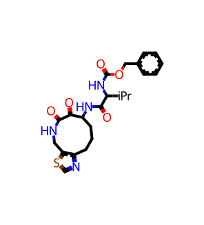 CC(C)C(NC(=O)OCc1ccccc1)C(=O)NC1CCCc2ncsc2CNC(=O)C1=O